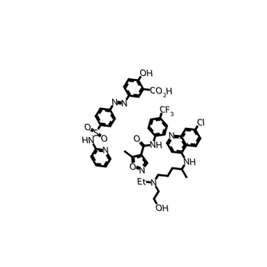 CCN(CCO)CCCC(C)Nc1ccnc2cc(Cl)ccc12.Cc1oncc1C(=O)Nc1ccc(C(F)(F)F)cc1.O=C(O)c1cc(N=Nc2ccc(S(=O)(=O)Nc3ccccn3)cc2)ccc1O